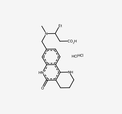 CCC(CC(=O)O)N(C)Cc1ccc2c3c(c(=O)[nH]c2c1)CCCN3.Cl.Cl